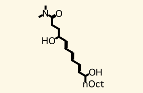 CCCCCCCCC(O)/C=C/C=C/C=C/C(O)CCC(=O)N(C)C